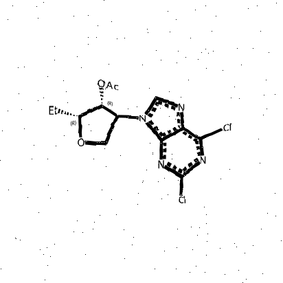 CC[C@H]1OCC(n2cnc3c(Cl)nc(Cl)nc32)[C@H]1OC(C)=O